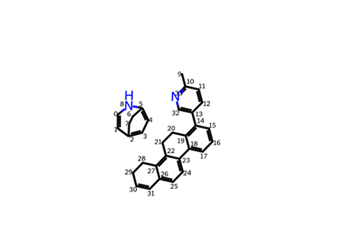 C1=CC2=CC=C(CC2)N1.Cc1ccc(-c2cccc3c2CCc2c-3ccc3c2CCC=C3)cn1